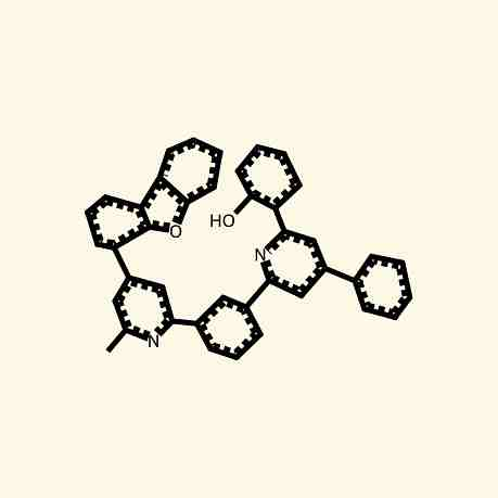 Cc1cc(-c2cccc3c2oc2ccccc23)cc(-c2cccc(-c3cc(-c4ccccc4)cc(-c4ccccc4O)n3)c2)n1